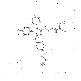 Cc1ccc(-c2c(-c3ccccc3)c(SCCNC(=O)OC(C)(C)C)nn2CC2CCC(COCC(=O)O)CC2)cc1